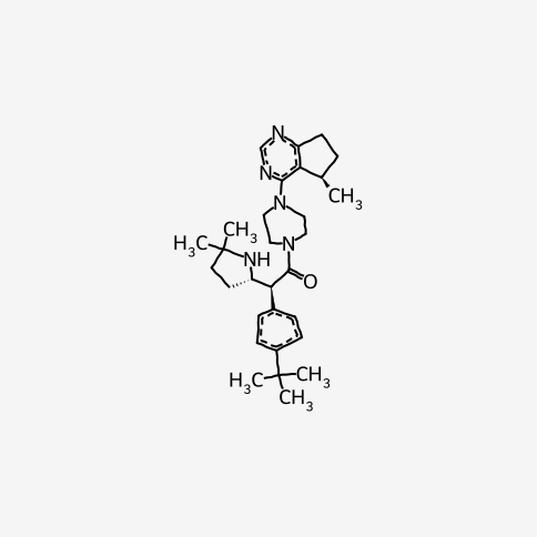 C[C@@H]1CCc2ncnc(N3CCN(C(=O)[C@@H](c4ccc(C(C)(C)C)cc4)[C@@H]4CCC(C)(C)N4)CC3)c21